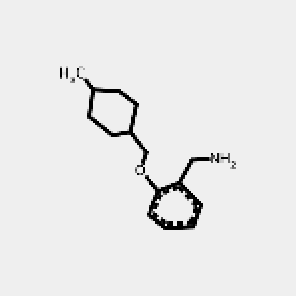 CC1CCC(COc2ccccc2CN)CC1